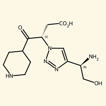 N[C@@H](CO)c1cn([C@@H](CC(=O)O)C(=O)C2CCNCC2)nn1